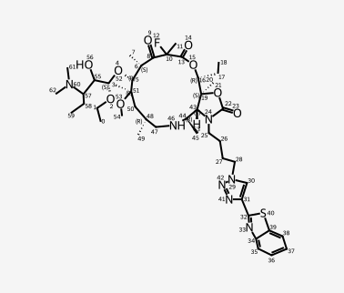 CCO[C@@H](O[C@@H]1[C@H](C)C(=O)C(C)(F)C(=O)O[C@H](CC)[C@@]2(C)OC(=O)N(CCCCn3cc(-c4nc5ccccc5s4)nn3)[C@@H]2[C@@H](C)NC[C@H](C)C[C@@]1(C)OC)C(O)C(CC)N(C)C